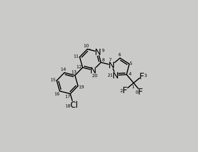 FC(F)(F)c1ccn(-c2n[c]cc(-c3cccc(Cl)c3)n2)n1